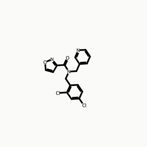 O=C(c1ccon1)N(Cc1cccnc1)Cc1ccc(Cl)cc1Cl